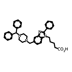 O=C(O)CCCCn1c(-c2ccccc2)nc2cc(CN3CCN(C(c4ccccc4)c4ccccc4)CC3)ccc21